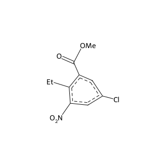 CCc1c(C(=O)OC)cc(Cl)cc1[N+](=O)[O-]